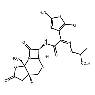 C[C@@H](O/N=C(\C(=O)N[C@@H]1C(=O)N2[C@@H]1SC[C@@H]1CC(=O)O[C@@]12C(=O)O)c1nc(N)sc1Cl)C(=O)O